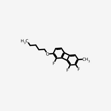 CCCCCOc1ccc2c(c1F)-c1c-2cc(C)c(F)c1F